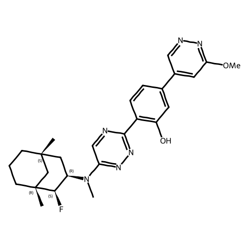 COc1cc(-c2ccc(-c3ncc(N(C)[C@@H]4C[C@@]5(C)CCC[C@](C)(C5)[C@@H]4F)nn3)c(O)c2)cnn1